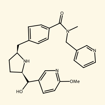 COc1ccc(C(O)[C@H]2CC[C@@H](Cc3ccc(C(=O)N(C)Cc4cccnc4)cc3)N2)cn1